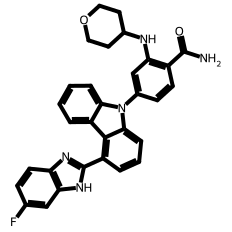 NC(=O)c1ccc(-n2c3ccccc3c3c(-c4nc5ccc(F)cc5[nH]4)cccc32)cc1NC1CCOCC1